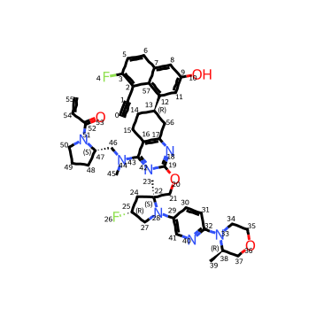 C#Cc1c(F)ccc2cc(O)cc([C@@H]3CCc4c(nc(OC[C@]5(C)C[C@@H](F)CN5c5ccc(N6CCOC[C@H]6C)nc5)nc4N(C)C[C@@H]4CCCN4C(=O)C=C)C3)c12